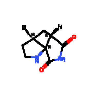 O=C1NC(=O)[C@]23NCC[C@H]2C[C@H]13